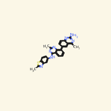 Cc1nc(Nc2ccc3sc(C)nc3c2)c2cccc(-c3ccc4nc(N)nc(C)c4c3)c2n1